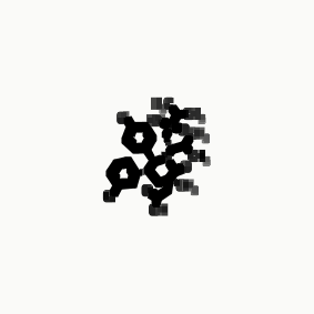 CC(C)[C@@H](CS(=N)(=O)C(C)C)N1C(=O)[C@@](C)(CC(=O)O)C[C@H](c2cccc(Cl)c2)[C@H]1c1ccc(Cl)cc1